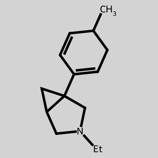 CCN1CC2CC2(C2=CCC(C)C=C2)C1